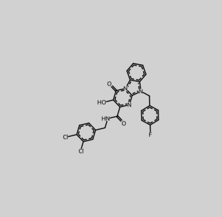 O=C(NCc1ccc(Cl)c(Cl)c1)c1nc2n(Cc3ccc(F)cc3)c3ccccc3n2c(=O)c1O